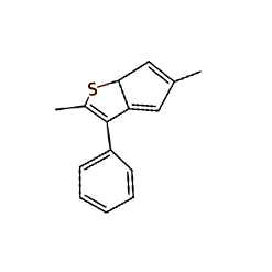 CC1=CC2SC(C)=C(c3ccccc3)C2=C1